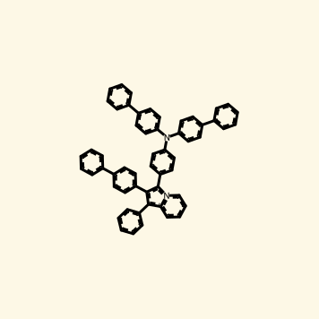 c1ccc(-c2ccc(-c3c(-c4ccccc4)c4ccccn4c3-c3ccc(N(c4ccc(-c5ccccc5)cc4)c4ccc(-c5ccccc5)cc4)cc3)cc2)cc1